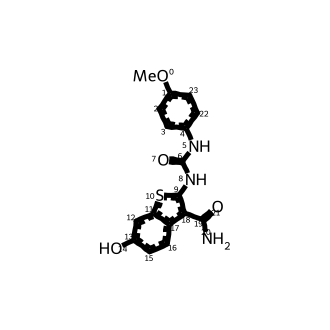 COc1ccc(NC(=O)Nc2sc3cc(O)ccc3c2C(N)=O)cc1